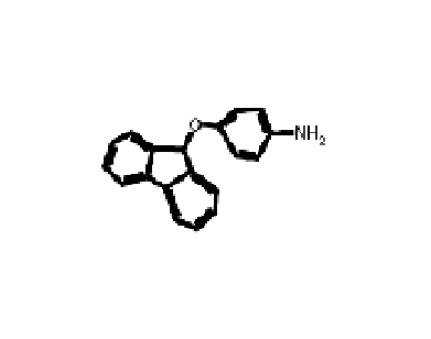 Nc1ccc(OC2c3ccccc3-c3ccccc32)cc1